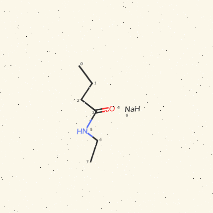 CCCC(=O)NCC.[NaH]